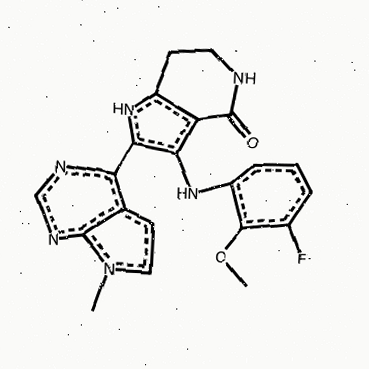 COc1c(F)cccc1Nc1c(-c2ncnc3c2ccn3C)[nH]c2c1C(=O)NCC2